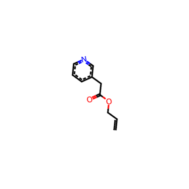 C=CCOC(=O)Cc1cccnc1